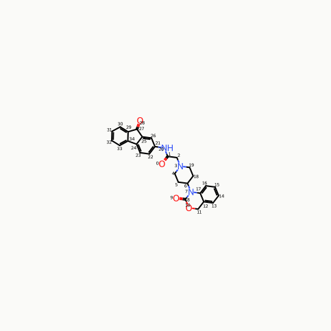 O=C(CN1CCC(N2C(=O)OCc3ccccc32)CC1)Nc1ccc2c(c1)C(=O)c1ccccc1-2